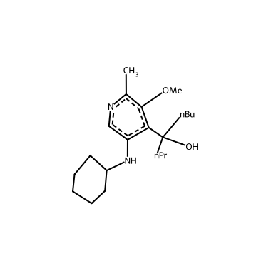 CCCCC(O)(CCC)c1c(NC2CCCCC2)cnc(C)c1OC